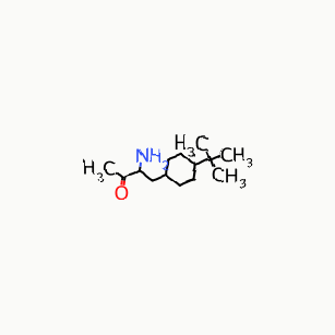 CC(=O)C(N)CC1CCC(C(C)(C)C)CC1